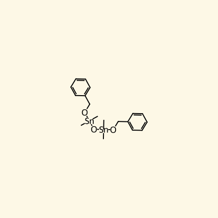 [CH3][Sn]([CH3])([O]Cc1ccccc1)[O][Sn]([CH3])([CH3])[O]Cc1ccccc1